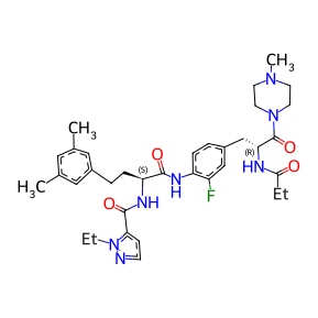 CCC(=O)N[C@H](Cc1ccc(NC(=O)[C@H](CCc2cc(C)cc(C)c2)NC(=O)c2ccnn2CC)c(F)c1)C(=O)N1CCN(C)CC1